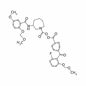 COCOc1ccc(OC)cc1C(=O)NC1CCCCN(C(=O)OOC(=O)c2ccc(C(=O)c3c(F)cccc3OCOC)cc2)C1